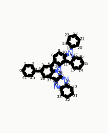 c1ccc(-c2cc3c4ccc5c(c6ccccc6n5-c5ccccc5)c4n4c5nc6ccccc6nc5c(c2)c34)cc1